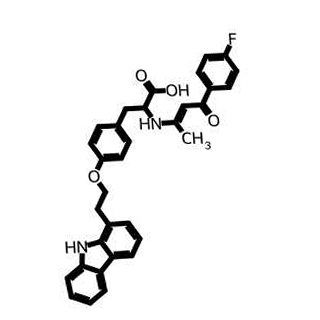 CC(=CC(=O)c1ccc(F)cc1)NC(Cc1ccc(OCCc2cccc3c2[nH]c2ccccc23)cc1)C(=O)O